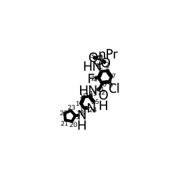 CCCS(=O)(=O)Nc1ccc(Cl)c(C(O)Nc2ccc(NC3CCCC3)nc2)c1F